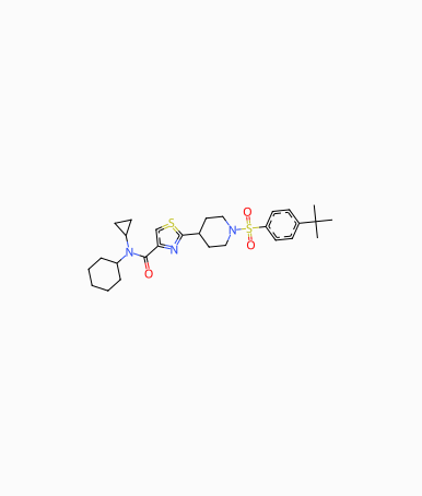 CC(C)(C)c1ccc(S(=O)(=O)N2CCC(c3nc(C(=O)N(C4CCCCC4)C4CC4)cs3)CC2)cc1